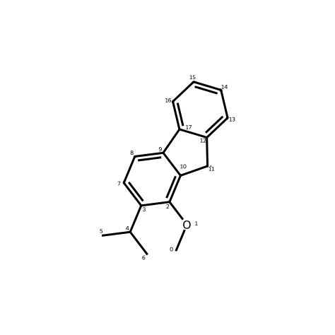 COc1c(C(C)C)ccc2c1[CH]c1ccccc1-2